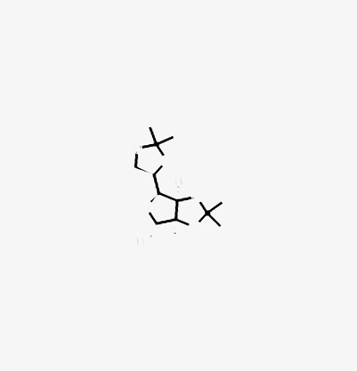 CC1(C)O[C@H]2[C@@H](O1)[C@H](O)O[C@H]2[C@H]1COC(C)(C)O1